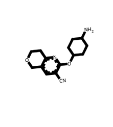 N#Cc1cc2c(nc1OC1CCC(N)CC1)CCOC2